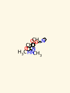 CNc1nc2cc(OCCCN3CCCC3)c(OC)cc2c2c1CC(C)OC2C